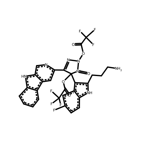 NCCCc1[nH]c2ccc(F)cc2c1C1(OC(=O)C(F)(F)F)C(c2cc3c(cn2)[nH]c2ccccc23)=NN(OC(=O)C(F)(F)F)[N+]1=O